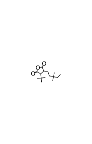 CCC(C)(C)CCC1C(=O)OC(=O)C1C(C)(C)C